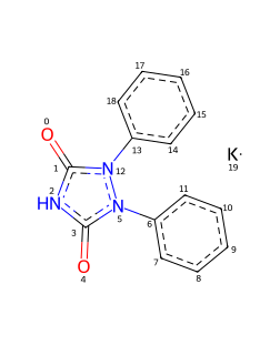 O=c1[nH]c(=O)n(-c2ccccc2)n1-c1ccccc1.[K]